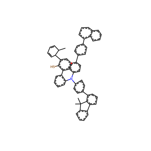 CC1C=CC=CC1c1cccc(-c2ccccc2N(c2ccc(-c3ccc(-c4cccc5ccccc45)cc3)cc2)c2ccc(-c3cccc4c3C(C)(C)c3ccccc3-4)cc2)c1S